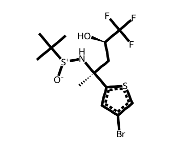 CC(C)(C)[S+]([O-])N[C@@](C)(C[C@@H](O)C(F)(F)F)c1cc(Br)cs1